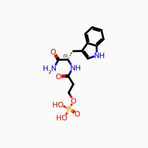 NC(=O)[C@H](Cc1c[nH]c2ccccc12)NC(=O)CCOP(=O)(O)O